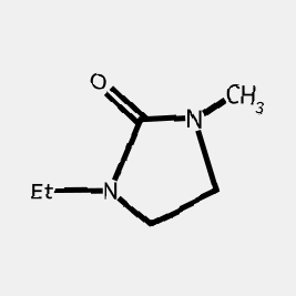 [CH2]CN1CCN(C)C1=O